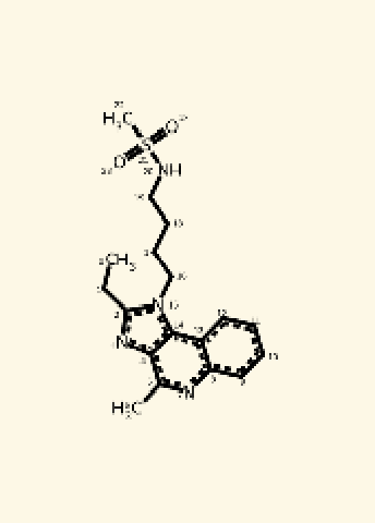 CCc1nc2c(C)nc3ccccc3c2n1CCCCNS(C)(=O)=O